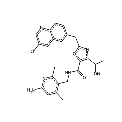 Cc1cc(N)nc(C)c1CNC(=O)c1oc(Cc2ccc3ncc(Cl)cc3c2)nc1C(C)O